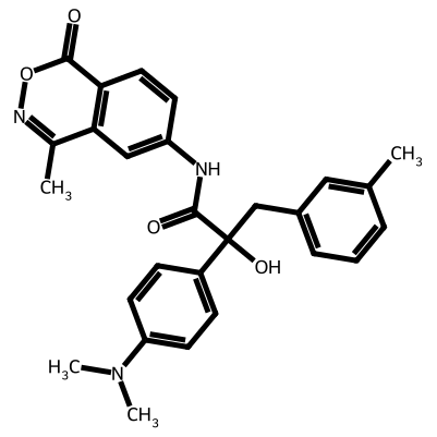 Cc1cccc(CC(O)(C(=O)Nc2ccc3c(=O)onc(C)c3c2)c2ccc(N(C)C)cc2)c1